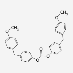 COc1ccc(Cc2ccc(OC(=O)Oc3ccc(Cc4ccc(OC)cc4)cc3)cc2)cc1